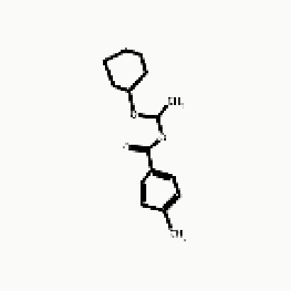 Cc1ccc(C(=O)OC(C)OC2CCCCC2)cc1